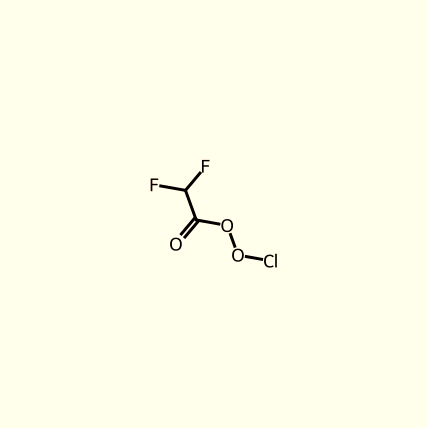 O=C(OOCl)C(F)F